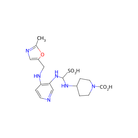 Cc1ncc(CNc2ccncc2NC(NC2CCN(C(=O)O)CC2)S(=O)(=O)O)o1